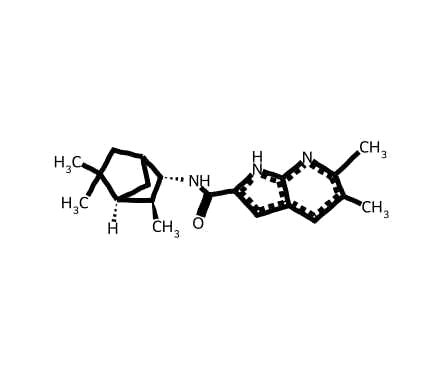 Cc1cc2cc(C(=O)N[C@H]3C4C[C@@H]([C@@H]3C)C(C)(C)C4)[nH]c2nc1C